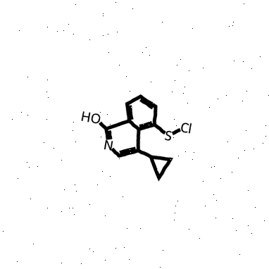 Oc1ncc(C2CC2)c2c(SCl)cccc12